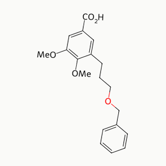 COc1cc(C(=O)O)cc(CCCOCc2ccccc2)c1OC